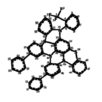 FC(F)(F)c1ccccc1N1c2ccccc2B2c3ccc(-c4ccccc4)cc3N3c4cc(-c5ccccc5)ccc4B4c5ccccc5Sc5cc1c2c3c54